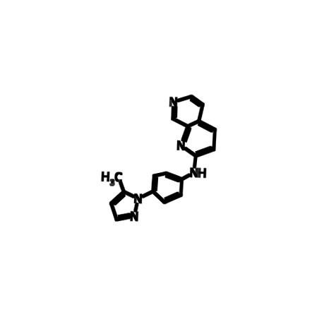 Cc1ccnn1-c1ccc(Nc2ccc3ccncc3n2)cc1